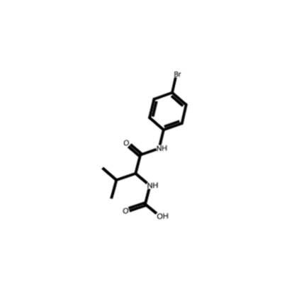 CC(C)C(NC(=O)O)C(=O)Nc1ccc(Br)cc1